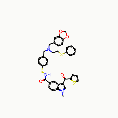 Cn1cc(C(=O)c2cccs2)c2cc(C(=O)NSc3ccc(CN(CCSc4ccccc4)Cc4ccc5c(c4)OCO5)cc3)ccc21